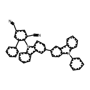 N#Cc1cc(C#N)c(-n2c3ccccc3c3cc(-c4ccc5c(c4)c4ccccc4n5-c4ccccc4)ccc32)c(-c2ccccc2)c1